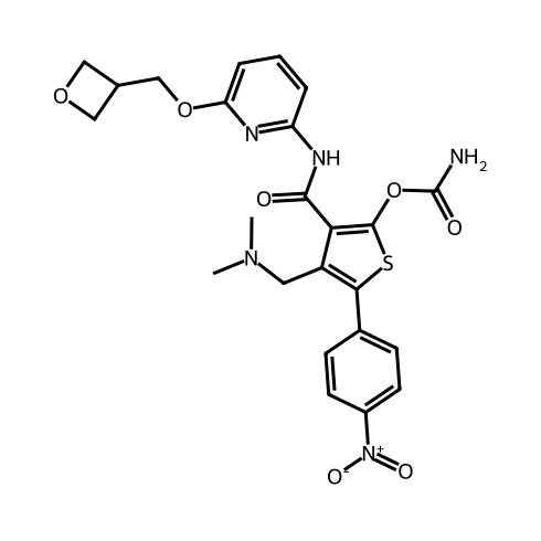 CN(C)Cc1c(-c2ccc([N+](=O)[O-])cc2)sc(OC(N)=O)c1C(=O)Nc1cccc(OCC2COC2)n1